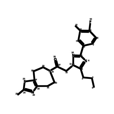 CCCc1nc(-c2ccc(F)c(C)c2)nn1CC(=O)N1CCc2nc(C)sc2CC1